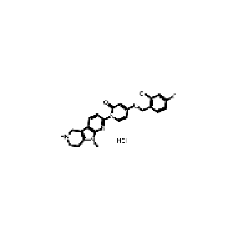 Cl.Cn1c2c(c3ccc(-n4ccc(OCc5ccc(Cl)cc5Cl)cc4=O)nc31)CNCC2